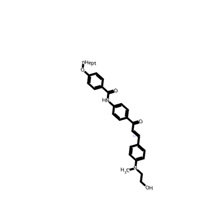 CCCCCCCOc1ccc(C(=O)Nc2ccc(C(=O)/C=C/c3ccc(N(C)CCO)cc3)cc2)cc1